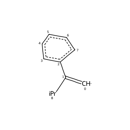 [CH]=C(c1ccccc1)C(C)C